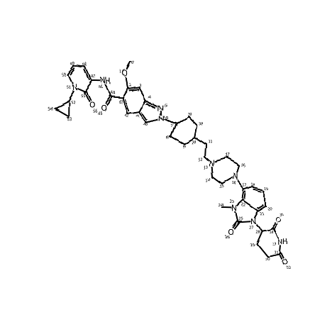 COc1cc2nn(C3CCC(CCN4CCN(c5cccc6c5n(C)c(=O)n6C5CCC(=O)NC5=O)CC4)CC3)cc2cc1C(=O)Nc1cccn(C2CC2)c1=O